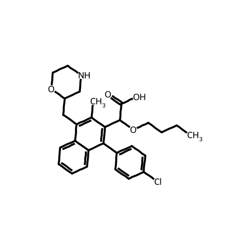 CCCCOC(C(=O)O)c1c(C)c(CC2CNCCO2)c2ccccc2c1-c1ccc(Cl)cc1